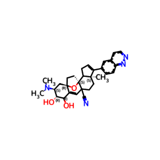 CN(C)[C@H]1C[C@@]23CC[C@]4(O2)C2CC=C(c5ccc6nnccc6c5)[C@@]2(C)CCC4(C#N)C=C3[C@@H](O)[C@@H]1O